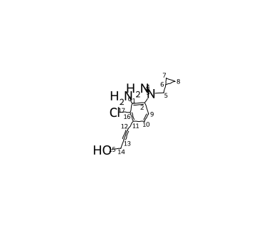 Nc1c(N(N)CC2CC2)ccc(C#CCO)c1Cl